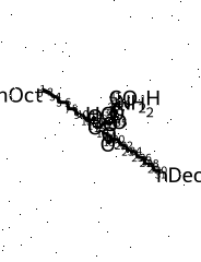 CCCCCCCC/C=C\CCCCCCCCCC(=O)O[C@H](COC(=O)CCCCCCCCCCCCCCCCCCCCC)COP(=O)(O)OC[C@H](N)C(=O)O